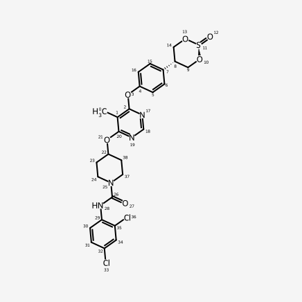 Cc1c(Oc2ccc([C@H]3CO[S@](=O)OC3)cc2)ncnc1OC1CCN(C(=O)Nc2ccc(Cl)cc2Cl)CC1